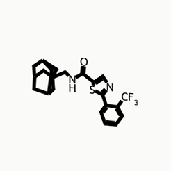 O=C(NCC12CC3CC(CC(C3)C1)C2)c1cnc(-c2ccccc2C(F)(F)F)s1